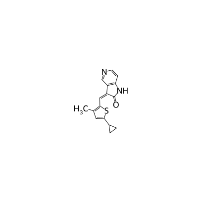 Cc1cc(C2CC2)sc1C=C1C(=O)Nc2ccncc21